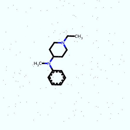 CCN1CCC(N(C)c2cc[c]cc2)CC1